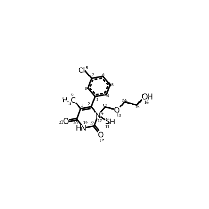 CC1=C(c2cccc(Cl)c2)[N+](S)(COCCO)C(=O)NC1=O